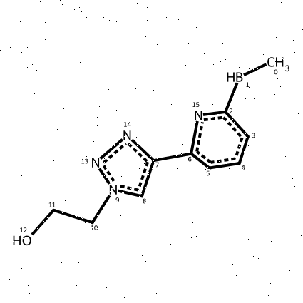 CBc1cccc(-c2cn(CCO)nn2)n1